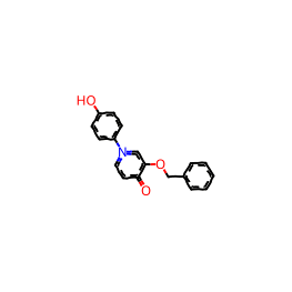 O=c1ccn(-c2ccc(O)cc2)cc1OCc1ccccc1